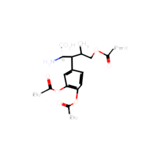 CCCC(C)C(=O)OCC(C)C(c1ccc(OC(=O)C(C)CC)c(OC(=O)C(C)CC)c1)[C@H](N)C(=O)O